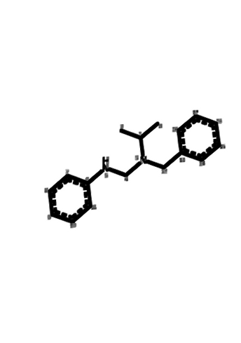 CC(C)N(CNc1ccccc1)Cc1ccccc1